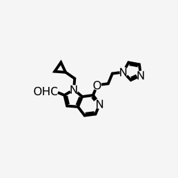 O=Cc1cc2ccnc(OCCn3ccnc3)c2n1CC1CC1